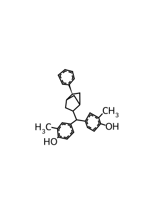 Cc1cc(C(c2ccc(O)c(C)c2)C2CC3CC2C[C@@H]3c2ccccc2)ccc1O